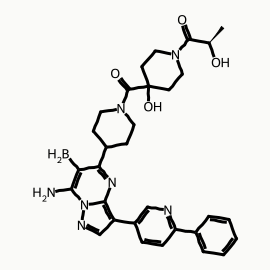 Bc1c(C2CCN(C(=O)C3(O)CCN(C(=O)[C@@H](C)O)CC3)CC2)nc2c(-c3ccc(-c4ccccc4)nc3)cnn2c1N